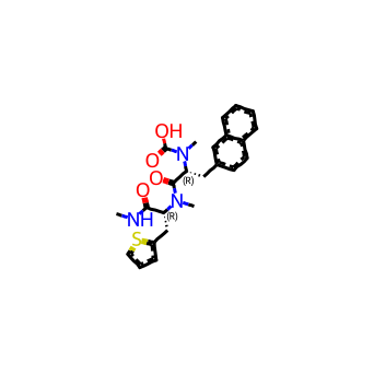 CNC(=O)[C@@H](Cc1cccs1)N(C)C(=O)[C@@H](Cc1ccc2ccccc2c1)N(C)C(=O)O